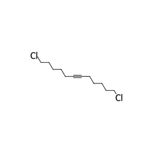 ClCCCCCC#CCCCCCCl